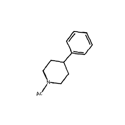 [CH2]C(=O)N1CCC(c2ccccc2)CC1